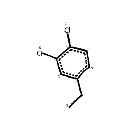 CCc1[c]c(Cl)c(Cl)cc1